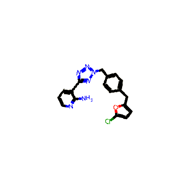 Nc1ncccc1-c1nnn(Cc2ccc(Cc3ccc(Cl)o3)cc2)n1